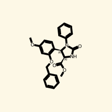 COC(=O)[C@@H]1NC(=O)N(c2ccccc2)[C@@H]1c1ccc(OC)cc1OCc1ccccc1